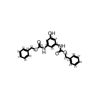 O=C(Nc1cc(O)cc(NC(=O)OCc2ccccc2)c1)OCc1ccccc1